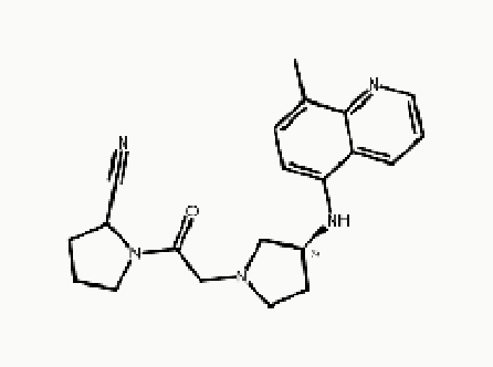 Cc1ccc(N[C@H]2CCN(CC(=O)N3CCCC3C#N)C2)c2cccnc12